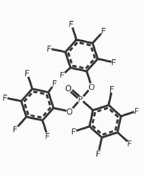 O=P(Oc1c(F)c(F)c(F)c(F)c1F)(Oc1c(F)c(F)c(F)c(F)c1F)c1c(F)c(F)c(F)c(F)c1F